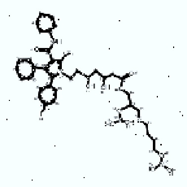 CC(C)c1c(C(=O)Nc2ccccc2)c(-c2ccccc2)c(-c2ccc(F)cc2)n1CCC(O)CC(O)CC(=O)OCC(COCCCCON(O)O)ON(O)O